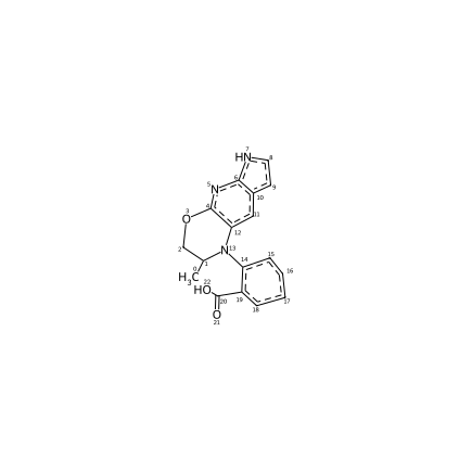 CC1COc2nc3[nH]ccc3cc2N1c1ccccc1C(=O)O